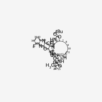 CC(C)(C)OC(=O)N[C@H]1CCCCC/C=C\[C@@H]2C[C@@]2(C(=O)NS(=O)(=O)C2(C)CC2)NC(=O)[C@@H]2C[C@@H](Oc3nc4c(F)cccc4nc3C(F)(F)F)CN2C1=O